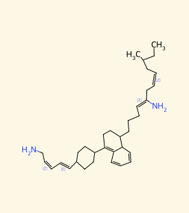 CCC(C)C/C=C\C/C(N)=C/CCCC1CCC(C2CCC(/C=C/C=C\CN)CC2)=C2C=CC=CC21